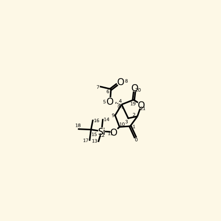 C=C1C2C[C@@](OC(C)=O)(CC1O[Si](C)(C)C(C)(C)C)C(=O)O2